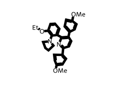 CCOc1cccc(-c2nc(-c3ccc(OC)cc3)ccc2-c2ccc(OC)cc2)c1N1CCCC1